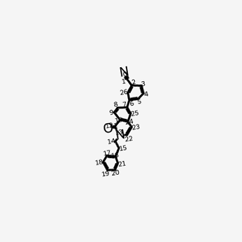 N#Cc1cccc(-c2ccc3c(=O)n(CCc4ccccc4)ccc3c2)c1